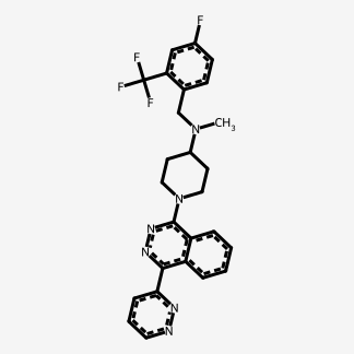 CN(Cc1ccc(F)cc1C(F)(F)F)C1CCN(c2nnc(-c3cccnn3)c3ccccc23)CC1